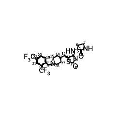 O=C1N=C(N[C@@H]2CCNC2=O)C(=CC2CCN(Cc3ccc(C(F)(F)F)cc3C(F)(F)F)CC2)S1